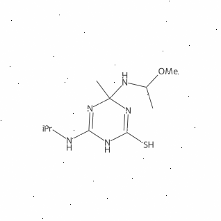 COC(C)NC1(C)N=C(S)NC(NC(C)C)=N1